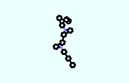 c1ccc(-c2ccc(-c3ccc(-n4c5ccccc5c5cc(-c6ccc7c(c6)c6ccccc6n7-c6ccc7c(c6)C6(c8ccccc8-7)C7CC8CC(C7)CC6C8)ccc54)cc3)cc2)cc1